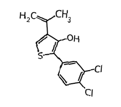 C=C(C)c1csc(-c2ccc(Cl)c(Cl)c2)c1O